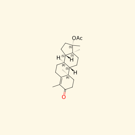 CC(=O)O[C@@]1(C)CC[C@H]2[C@@H]3CCC4=C(C)C(=O)CC[C@]4(C)[C@H]3CC[C@@]21C